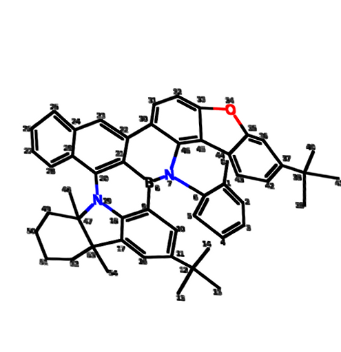 Cc1ccccc1N1B2c3cc(C(C)(C)C)cc4c3N(c3c2c(cc2ccccc32)-c2ccc3oc5cc(C(C)(C)C)ccc5c3c21)C1(C)CCCCC41C